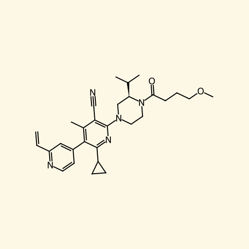 C=Cc1cc(-c2c(C3CC3)nc(N3CCN(C(=O)CCCOC)[C@H](C(C)C)C3)c(C#N)c2C)ccn1